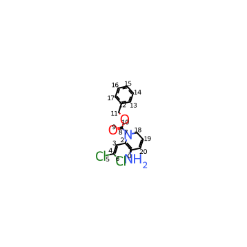 NC1=C(C=C(Cl)Cl)N(C(=O)OCc2ccccc2)CC=C1